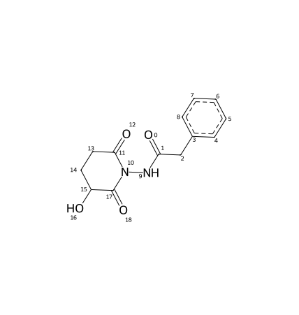 O=C(Cc1ccccc1)NN1C(=O)CCC(O)C1=O